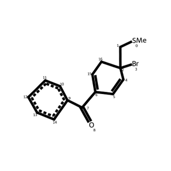 CSCC1(Br)C=CC(C(=O)c2ccccc2)=CC1